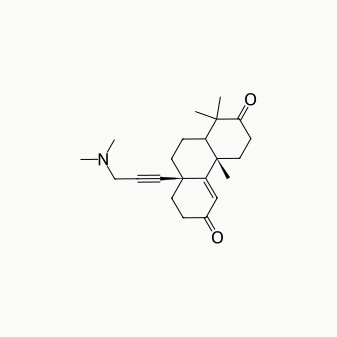 CN(C)CC#C[C@]12CCC(=O)C=C1[C@@]1(C)CCC(=O)C(C)(C)C1CC2